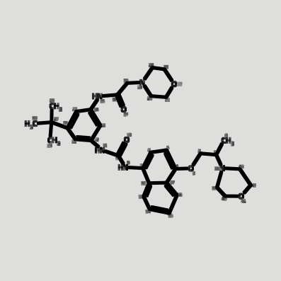 CC(COc1ccc(NC(=O)Nc2cc(NC(=O)CN3CCOCC3)cc(C(C)(C)C)c2)c2ccccc12)N1CCOCC1